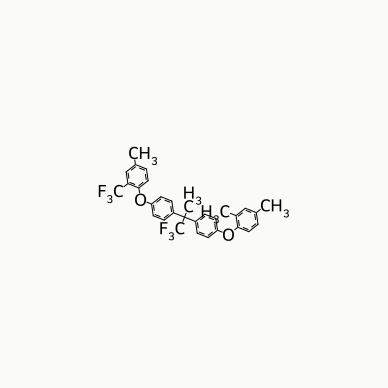 Cc1ccc(Oc2ccc(C(C)(c3ccc(Oc4ccc(C)cc4C(F)(F)F)cc3)C(F)(F)F)cc2)c(C)c1